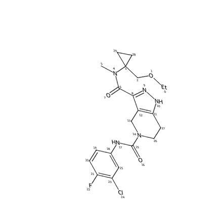 CCOCC1(N(C)C(=O)c2n[nH]c3c2CN(C(=O)Nc2ccc(F)c(Cl)c2)CC3)CC1